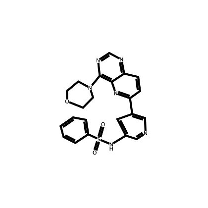 O=S(=O)(Nc1cncc(-c2ccc3ncnc(N4CCOCC4)c3n2)c1)c1ccccc1